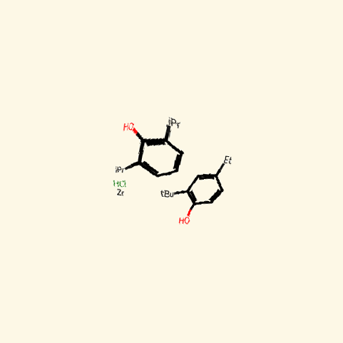 CC(C)c1cccc(C(C)C)c1O.CCc1ccc(O)c(C(C)(C)C)c1.Cl.[Zr]